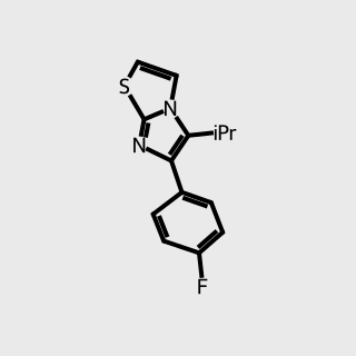 CC(C)c1c(-c2ccc(F)cc2)nc2sccn12